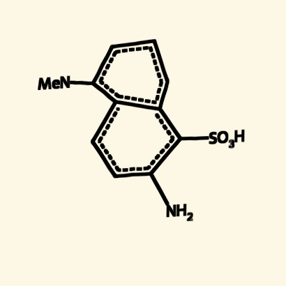 CNc1cccc2c(S(=O)(=O)O)c(N)ccc12